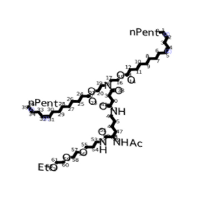 CCCCC/C=C\C/C=C\CCCCCCCC(=O)OCCN(CCOC(=O)CCCCCCC/C=C\C/C=C\CCCCC)C(=O)CCC(=O)NCCCC[C@H](NC(C)=O)C(=O)NCCCOCCOCCOCC